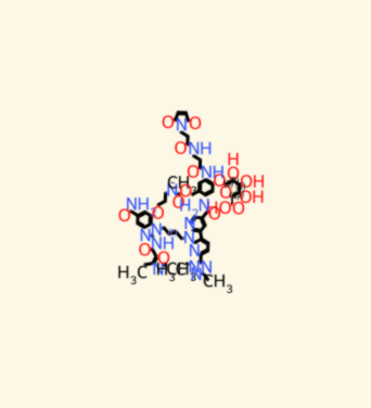 CCc1nc(C)oc1C(=O)Nc1nc2cc(C(N)=O)cc(OCCCN(C)C(=O)OCc3ccc(O[C@@H]4O[C@H](C(=O)O)[C@@H](O)[C@H](O)[C@H]4O)c(NC(=O)CCNC(=O)CCN4C(=O)C=CC4=O)c3)c2n1C/C=C/Cn1c2ncc(C(N)=O)cc2c2ccc(-c3nc(C)nn3CC)nc21